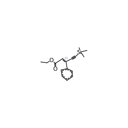 CCOC(=O)/C=C(/C#C[Si](C)(C)C)c1ccccc1